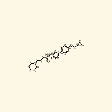 O=C(CCCN1CCCCC1)Nc1cc(-c2ccc(OCC3CC3)cc2)n[nH]1